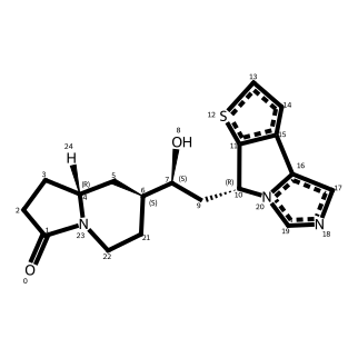 O=C1CC[C@@H]2C[C@@H]([C@@H](O)C[C@@H]3c4sccc4-c4cncn43)CCN12